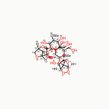 CO[C@@H]1O[C@H]2OO[C@@H]([C@@H]1O)[C@@H]2O[C@@H]1O[C@H](CO)[C@H](O)[C@H](O[C@@H]2O[C@H]3CO[C@@H]([C@@H]2O)[C@@H]3O[C@@H]2O[C@H](CO)[C@H](O)[C@H](OC)C2O)[C@H]1O